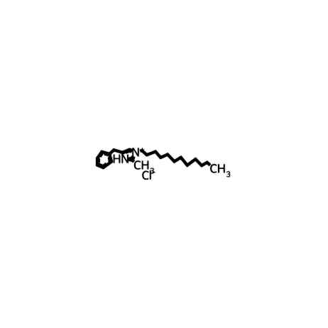 CCCCCCCCCCCC[n+]1cc(Cc2ccccc2)[nH]c1C.[Cl-]